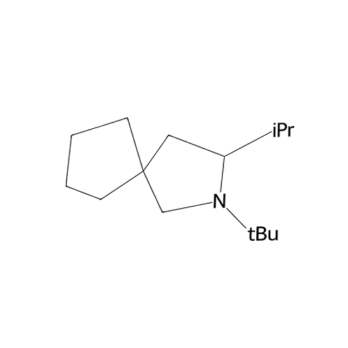 CC(C)C1CC2(CCCC2)CN1C(C)(C)C